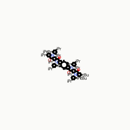 CC(C)c1cc(C(C)C)c(-n2c3cc(C(C)C)c(C(C)C)cc3c(=O)c3cc4c(cc32)c(=O)c2cc3c(cc2n4-c2c(C(C)C)cc(C(C)C)cc2C(C)C)C(C)CC(C)(C)c2cc4c(=O)c5cc6c(cc5n(-c5c(C(C)C)cc(C(C)C)cc5C(C)C)c4cc2C(C)(C)CC3C)c(=O)c2cc(C(C)(C)C)c(C(C)(C)C)cc2n6-c2c(C(C)C)cc(C(C)C)cc2C(C)C)c(C(C)C)c1